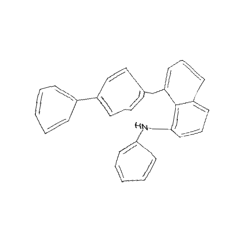 c1ccc(Nc2cccc3cccc(-c4ccc(-c5ccccc5)cc4)c23)cc1